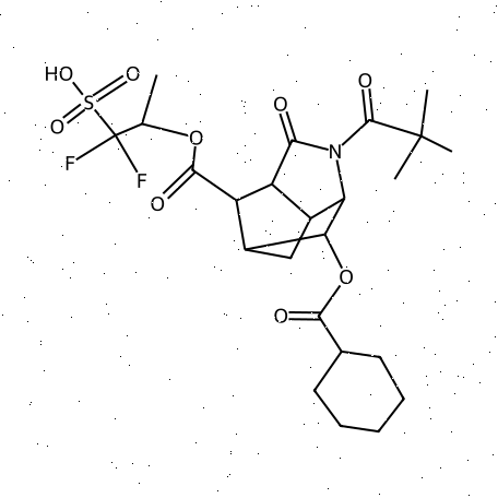 CC(OC(=O)C1C2CC3C1C(=O)N(C(=O)C(C)(C)C)C3C2OC(=O)C1CCCCC1)C(F)(F)S(=O)(=O)O